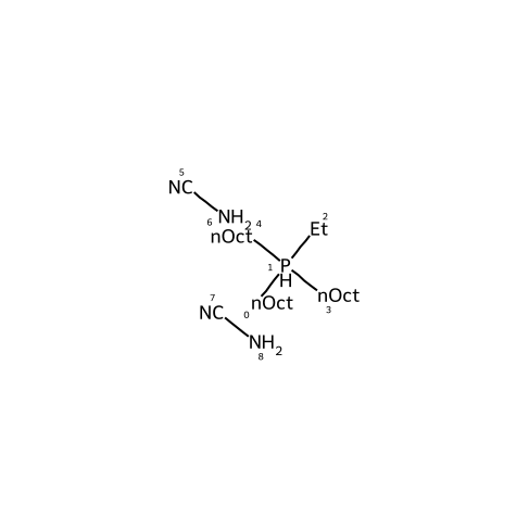 CCCCCCCC[PH](CC)(CCCCCCCC)CCCCCCCC.N#CN.N#CN